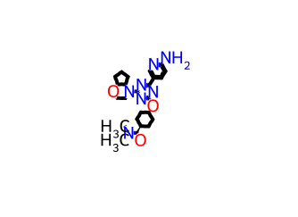 CN(C)C(=O)[C@H]1CC[C@H](Oc2nc(-c3ccc(N)nc3)nc(N3CCOC4CCCC43)n2)CC1